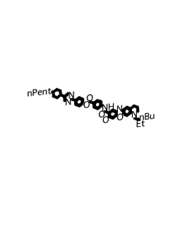 CCCCCC1CCC(c2cnc(-c3ccc(OC(=O)c4ccc(NC(=O)c5cc6nc7cc8c(cc7oc-6cc5=O)N(CC(CC)CCCC)CCC8)cc4)cc3)nc2)CC1